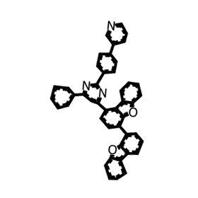 c1ccc(-c2cc(-c3ccc(-c4cccc5c4oc4ccccc45)c4oc5ccccc5c34)nc(-c3ccc(-c4cccnc4)cc3)n2)cc1